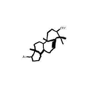 CC(=O)C1CCC2C3CC=C4C(C)(C)C(O)CCC4(C)C3CCC12C